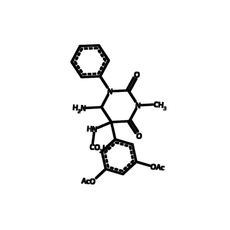 CC(=O)Oc1cc(OC(C)=O)cc(C2(NC(=O)O)C(=O)N(C)C(=O)N(c3ccccc3)C2N)c1